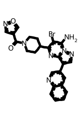 Nc1c(Br)c(C2CCN(C(=O)c3cnoc3)CC2)nc2c(-c3cnc4ccccc4c3)cnn12